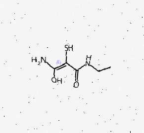 CCNC(=O)/C(S)=C(/N)O